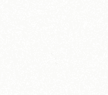 c1ccc(-c2nc(-c3ccc4c(c3)oc3ccccc34)nc(-c3ccc4c(oc5ccccc54)c3CC3Cc4cc5ccccc5cc4-c4ccccc43)n2)cc1